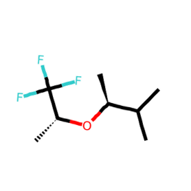 CC(C)[C@H](C)O[C@H](C)C(F)(F)F